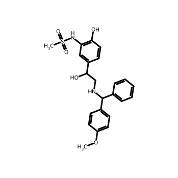 COc1ccc(C(NCC(O)c2ccc(O)c(NS(C)(=O)=O)c2)c2ccccc2)cc1